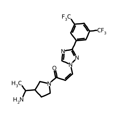 CC(N)C1CCN(C(=O)/C=C\n2cnc(-c3cc(C(F)(F)F)cc(C(F)(F)F)c3)n2)C1